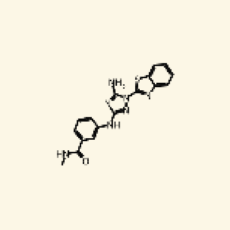 CNC(=O)c1cccc(Nc2nc(N)n(-c3nc4ccccc4s3)n2)c1